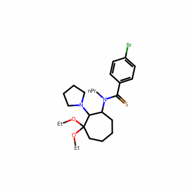 CCCN(C(=S)c1ccc(Br)cc1)C1CCCCC(OCC)(OCC)C1N1CCCC1